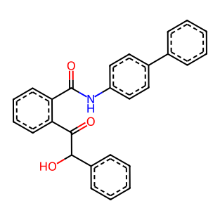 O=C(Nc1ccc(-c2ccccc2)cc1)c1ccccc1C(=O)C(O)c1ccccc1